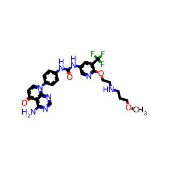 COCCCNCCOc1ncc(NC(=O)Nc2ccc(-n3ccc(=O)c4c(N)ncnc43)cc2)cc1C(F)(F)F